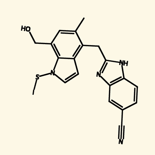 Cc1cc(CO)c2c(ccn2SI)c1Cc1nc2cc(C#N)ccc2[nH]1